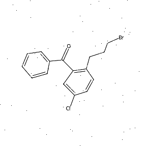 O=C(c1ccccc1)c1cc(Cl)ccc1CCCBr